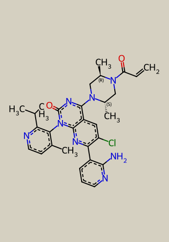 C=CC(=O)N1C[C@H](C)N(c2nc(=O)n(-c3c(C)ccnc3C(C)C)c3nc(-c4cccnc4N)c(Cl)cc23)C[C@H]1C